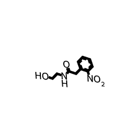 O=C(Cc1ccccc1[N+](=O)[O-])NCCO